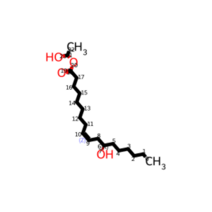 CCCCCC[C@@H](O)C/C=C\CCCCCCCC(=O)OC(C)O